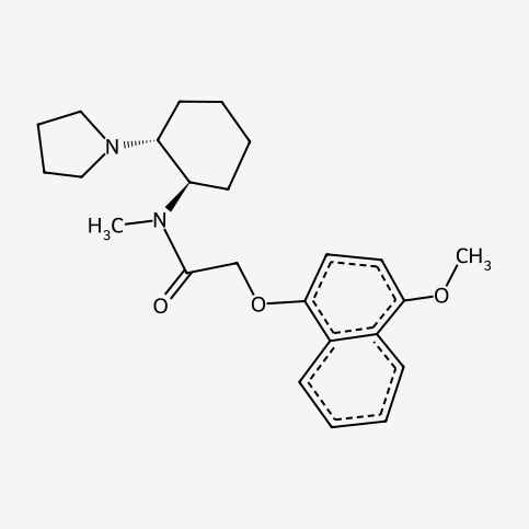 COc1ccc(OCC(=O)N(C)[C@@H]2CCCC[C@H]2N2CCCC2)c2ccccc12